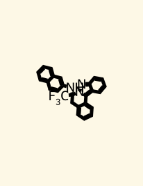 FC(F)(F)C1(Nc2ccc3ccccc3c2)Cc2ccccc2-c2c3ccccc3nn21